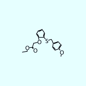 CCOC(=O)COc1ccccc1SCc1ccc(OC)cc1